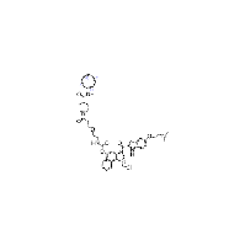 CN(C)CCOc1ccc2[nH]c(C(=O)N3C[C@@H](CCl)c4c3cc(OC(=O)NCCOCCC(=O)N3CCC(C(=O)NC5=C/C=C\C=C/C=C\5)CC3)c3ccccc43)cc2c1